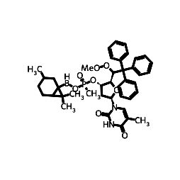 COOC([C@H]1O[C@@H](n2cc(C)c(=O)[nH]c2=O)C[C@@H]1OP(C)(=O)OBC12CC(C)CCC1C2(C)C)C(c1ccccc1)(c1ccccc1)c1ccccc1